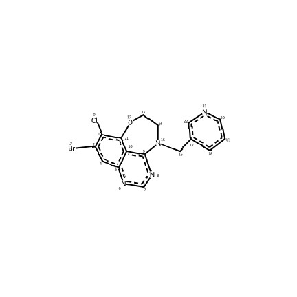 Clc1c(Br)cc2ncnc3c2c1OCCN3Cc1cccnc1